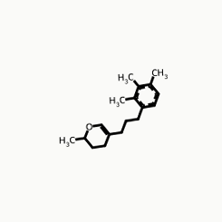 Cc1ccc(CCCC2=COC(C)CC2)c(C)c1C